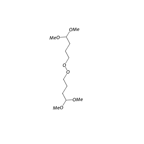 COC(CCCOOCCCC(OC)OC)OC